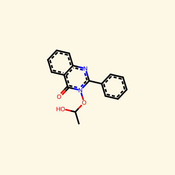 CC(O)On1c(-c2ccccc2)nc2ccccc2c1=O